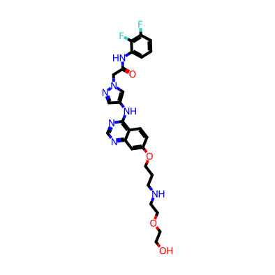 O=C(Cn1cc(Nc2ncnc3cc(OCCCNCCOCCO)ccc23)cn1)Nc1cccc(F)c1F